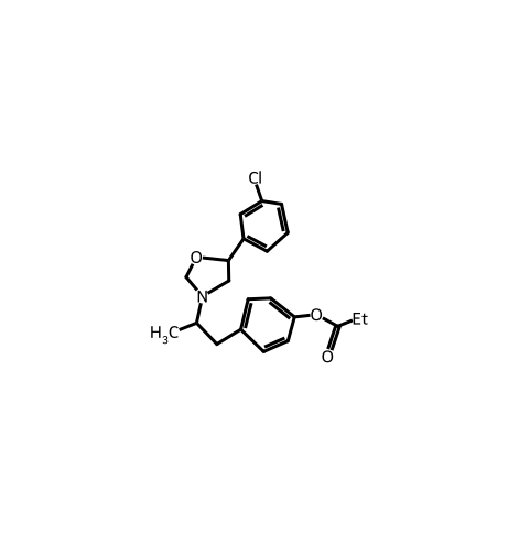 CCC(=O)Oc1ccc(CC(C)N2COC(c3cccc(Cl)c3)C2)cc1